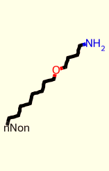 CCCCCCCCCCCCCCCCCOCCCCN